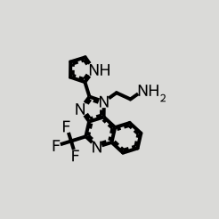 NCCn1c(-c2ccc[nH]2)nc2c(C(F)(F)F)nc3ccccc3c21